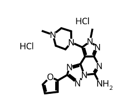 CN1CCN(c2c3c(nc(N)n4nc(-c5ccco5)nc34)nn2C)CC1.Cl.Cl